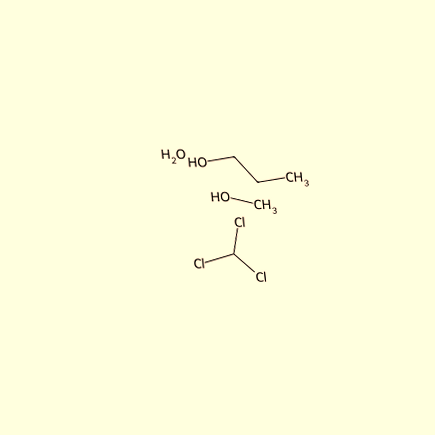 CCCO.CO.ClC(Cl)Cl.O